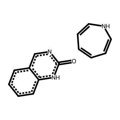 C1=CC=CNC=C1.O=c1ncc2ccccc2[nH]1